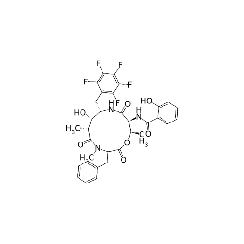 C[C@H]1OC(=O)C(Cc2ccccc2)N(C)C(=O)[C@H](C)[C@H](O)[C@H](Cc2c(F)c(F)c(F)c(F)c2F)NC(=O)[C@H]1NC(=O)c1ccccc1O